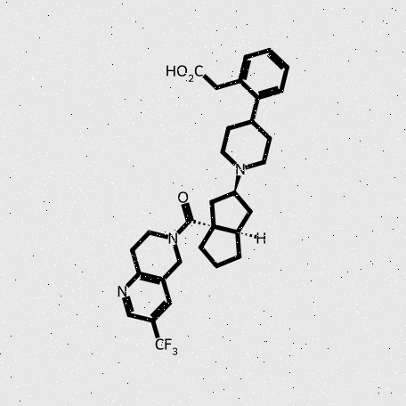 O=C(O)Cc1ccccc1C1CCN([C@H]2C[C@H]3CCC[C@@]3(C(=O)N3CCc4ncc(C(F)(F)F)cc4C3)C2)CC1